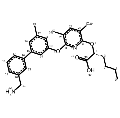 CCCC[C@@H](Oc1nc(Oc2cc(C)cc(-c3cccc(CN)c3)c2)c(F)cc1F)C(=O)O